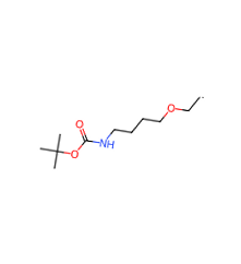 [CH2]COCCCCNC(=O)OC(C)(C)C